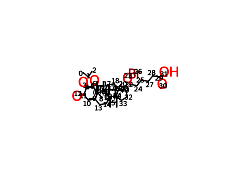 CC1(C)OC2=C(O1)[C@@]1(C)C(=CC2=O)CC[C@@H]2[C@@H]1CC[C@]1(C)[C@H](C(=O)CC(Br)CCC(=O)O)CC[C@@H]21